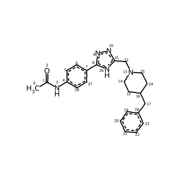 CC(=O)Nc1ccc(-c2nnc(CN3CCC(Cc4ccccc4)CC3)[nH]2)cc1